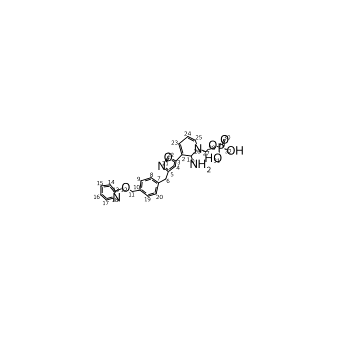 NC1C(c2cc(Cc3ccc(COc4ccccn4)cc3)no2)=CC=CN1COP(=O)(O)O